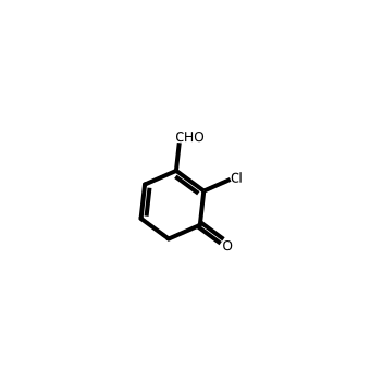 O=CC1=C(Cl)C(=O)CC=C1